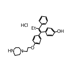 CCC(=C(c1ccc(O)cc1)c1ccc(OCCN2CCNCC2)cc1)c1ccccc1.Cl